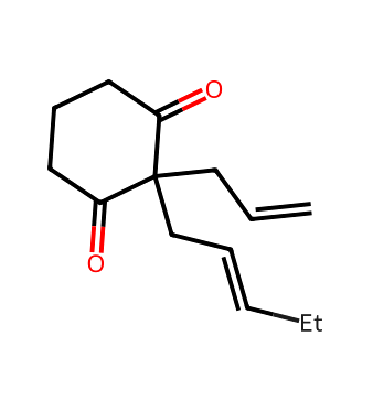 C=CCC1(CC=CCC)C(=O)CCCC1=O